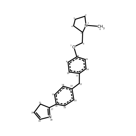 CN1CCCC1COc1ccc(Cc2ccc(C3=NC=CC3)cc2)cc1